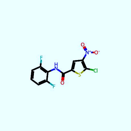 O=C(Nc1c(F)cccc1F)c1cc([N+](=O)[O-])c(Cl)s1